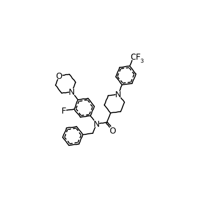 O=C(C1CCN(c2ccc(C(F)(F)F)cc2)CC1)N(Cc1ccccc1)c1ccc(N2CCOCC2)c(F)c1